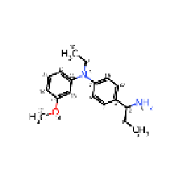 CCC(N)c1ccc(N(CC)c2cccc(OC)c2)cc1